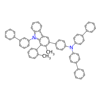 Cc1ccccc1-c1c(C)c(-c2ccc(N(c3ccc(-c4ccccc4)cc3)c3ccc(-c4ccccc4)cc3)cc2)cc2c3ccccc3n(-c3cccc(-c4ccccc4)c3)c12